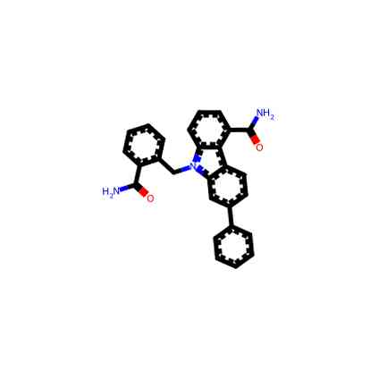 NC(=O)c1ccccc1Cn1c2cc(-c3ccccc3)c[c]c2c2c(C(N)=O)cccc21